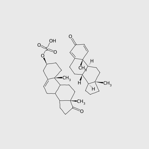 C[C@@]12CCC[C@H]1[C@@H]1CCC3=CC(=O)C=C[C@]3(C)[C@H]1CC2.C[C@]12CC[C@H](OS(=O)(=O)O)CC1=CCC1C2CC[C@]2(C)C(=O)CCC12